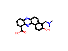 CN(C)Cc1c(O)ccc2c1ccc1nc3cccc(C(=O)O)c3nc12